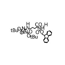 CC(C)(C)OC(=O)/N=C(/NCCCC(NC(=O)OCC1c2ccccc2-c2ccccc21)C(=O)O)NC(=O)OC(C)(C)C